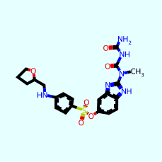 CN(C(=O)NC(N)=O)c1nc2cc(OS(=O)(=O)c3ccc(NCC4CCCO4)cc3)ccc2[nH]1